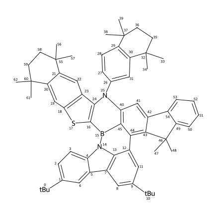 CC(C)(C)c1ccc2c(c1)c1cc(C(C)(C)C)cc3c1n2B1c2sc4cc5c(cc4c2N(c2ccc4c(c2)C(C)(C)CCC4(C)C)c2cc4c(c-3c21)C(C)(C)c1ccccc1-4)C(C)(C)CCC5(C)C